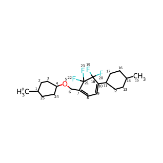 CC1CCC(OCC2=CC=C(C3CCC(C)CC3)C(F)(F)C2(F)F)CC1